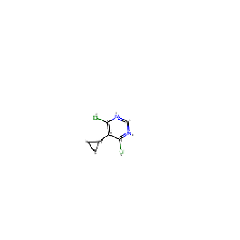 Clc1ncnc(Cl)c1C1CC1